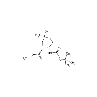 CCOC(=O)[C@H]1C[C@@](C)(O)CC[C@@H]1NC(=O)OC(C)(C)C